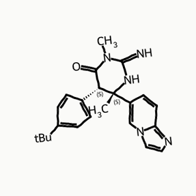 CN1C(=N)N[C@](C)(c2ccc3nccn3c2)[C@H](c2ccc(C(C)(C)C)cc2)C1=O